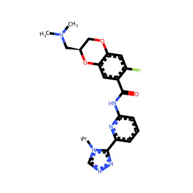 CC(C)n1cnnc1-c1cccc(NC(=O)c2cc3c(cc2F)OC[C@H](CN(C)C)O3)n1